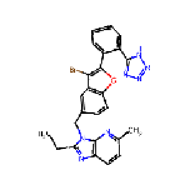 CCc1nc2ccc(C)nc2n1Cc1ccc2oc(-c3ccccc3-c3nnn[nH]3)c(Br)c2c1